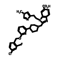 Cn1cnc(CCn2c(CN3CCC(c4cccc(OCc5ccc(Cl)cc5F)n4)CC3)nc3ccc(C(=O)O)cc32)c1